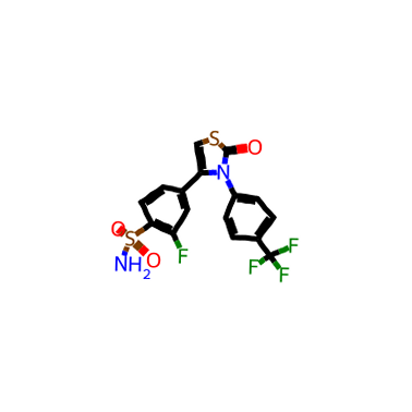 NS(=O)(=O)c1ccc(-c2csc(=O)n2-c2ccc(C(F)(F)F)cc2)cc1F